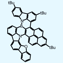 CC(C)(C)c1cc2ccc3c4c5c(c6ccc(c1)c2c36)-n1c2c(cccc2c2ccc3c6ccccc6oc3c21)B5n1c2ccc(C(C)(C)C)cc2c2cc(C(C)(C)C)cc-4c21